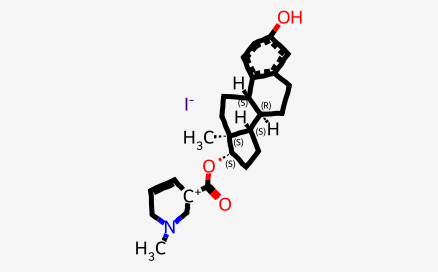 CN1CC=C[C+](C(=O)O[C@H]2CC[C@H]3[C@@H]4CCc5cc(O)ccc5[C@H]4CC[C@]23C)C1.[I-]